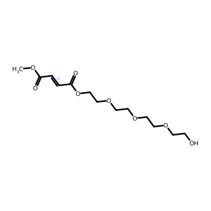 COC(=O)/C=C/C(=O)OCCOCCOCCOCCO